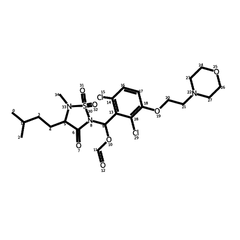 CC(C)CCC1C(=O)N(C(OC=O)c2c(Cl)ccc(OCCN3CCOCC3)c2Cl)S(=O)(=O)N1C